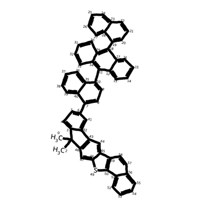 CC1(C)c2ccc(-c3ccc(-c4c5ccccc5c(-c5cccc6ccccc56)c5ccccc45)c4ccccc34)cc2-c2cc3c(cc21)sc1c2ccccc2ccc31